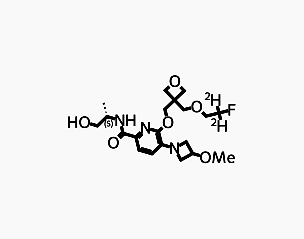 [2H]C([2H])(F)COCC1(COc2nc(C(=O)N[C@@H](C)CO)ccc2N2CC(OC)C2)COC1